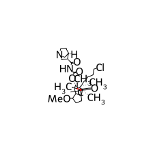 CO[C@@H]1CCC23CC[C@@H](C)[C@](C)(C12)[C@H](OC(=O)NC(=O)[C@H]1CN2CC[C@@H]1C2)C[C@@](C)(CCCCl)C(=O)[C@@H]3C